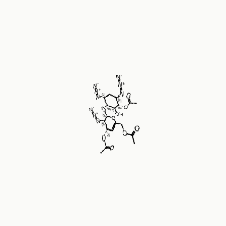 CC(=O)OCC1=C[C@H](OC(C)=O)[C@@H](N=[N+]=[N-])[C@@H](O[C@H]2[C@H](O)[C@@H](OC(C)=O)[C@H](N=[N+]=[N-])C[C@@H]2N=[N+]=[N-])O1